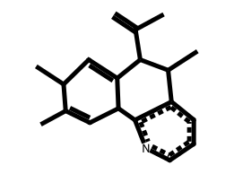 C=C(C)C1C2=CC(C)C(C)=CC2c2ncccc2C1C